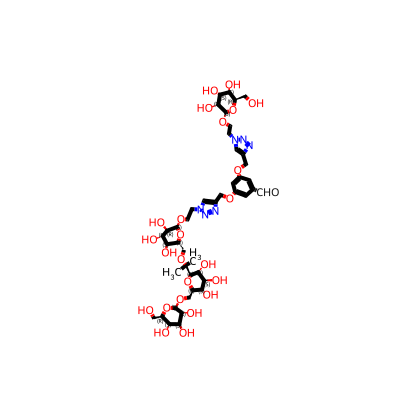 CC(C)(OC[C@H]1O[C@H](OCCn2cc(COc3cc(C=O)cc(OCc4cn(CCO[C@H]5O[C@H](CO)[C@@H](O)[C@H](O)[C@H]5O)nn4)c3)nn2)[C@H](O)[C@@H](O)[C@@H]1O)[C@@H]1O[C@H](CO[C@@H]2O[C@H](CO)[C@@H](O)[C@H](O)[C@H]2O)[C@@H](O)[C@H](O)[C@H]1O